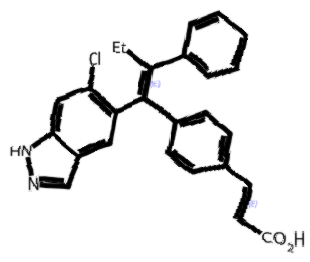 CC/C(=C(/c1ccc(/C=C/C(=O)O)cc1)c1cc2cn[nH]c2cc1Cl)c1ccccc1